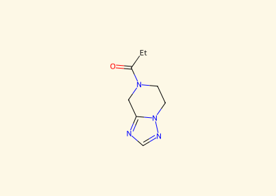 CCC(=O)N1CCn2ncnc2C1